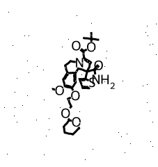 COc1cc2c(cc1OCCOC1CCCCO1)C1N(CC2)C(C(=O)OC(C)(C)C)=CC1(C(N)=O)c1cccs1